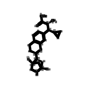 COC(=O)[C@H](C)[C@H](c1ccc2c(c1)O[C@@H]([C@@H]1C[C@H]3C[C@@H]1CN3)CC2)C1CC1